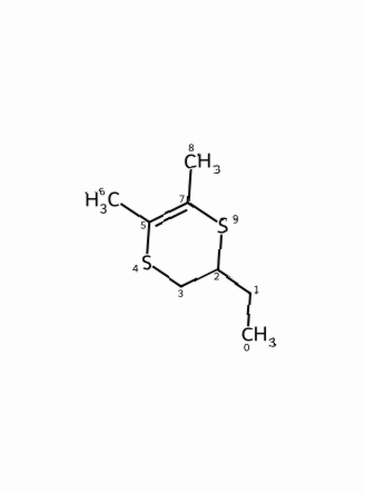 CCC1CSC(C)=C(C)S1